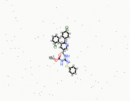 CC(C)(C)OC(=O)N/C(=N\Sc1ccccc1)NCc1cnc(-c2ccc(Cl)cc2)c(-c2ccccc2Cl)c1